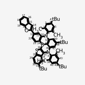 Cc1cc(C(C)(C)C)cc(C)c1N1c2cc(-c3cc4ccccc4o3)ccc2B2c3sc4ccc(C(C)(C)C)cc4c3N(c3c(C)cc(C(C)(C)C)cc3C)c3cc(C(C)(C)C)cc1c32